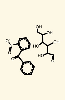 O=C(c1ccccc1)c1ccccc1[N+](=O)[O-].O=CC(O)C(O)C(O)C(O)CO